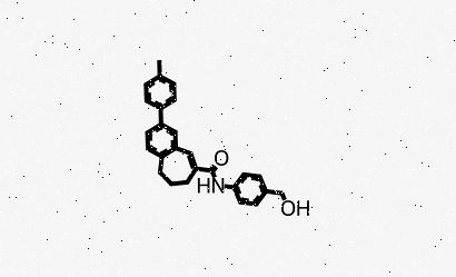 Cc1ccc(-c2ccc3c(c2)C=C(C(=O)Nc2ccc(CO)cc2)CCC3)cc1